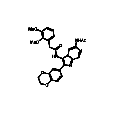 COc1cccc(CC(=O)Nc2c(-c3ccc4c(c3)OCCO4)nc3cnc(NC(C)=O)cn23)c1OC